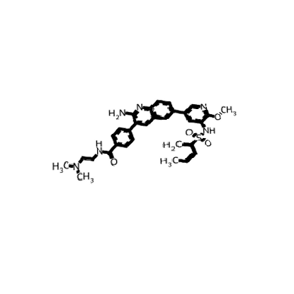 C=C(/C=C\C)S(=O)(=O)Nc1cc(-c2ccc3nc(N)c(-c4ccc(C(=O)NCCN(C)C)cc4)cc3c2)cnc1OC